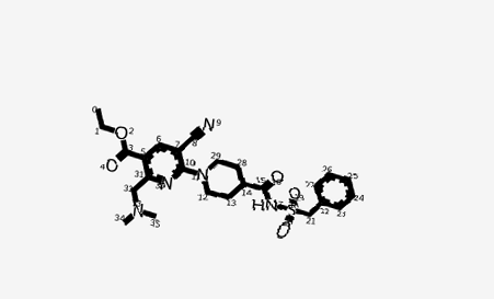 CCOC(=O)c1cc(C#N)c(N2CCC(C(=O)NS(=O)(=O)Cc3ccccc3)CC2)nc1CN(C)C